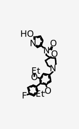 CCOc1cc(CN2CCC3(CC2)CN(c2ccc(O)nc2)C(=O)O3)cc(OCC)c1-c1ccc(F)cc1